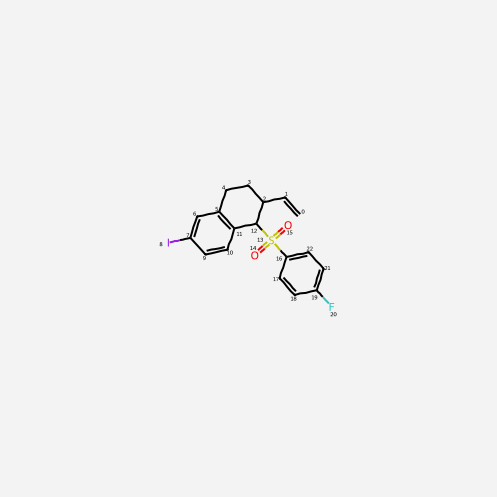 C=CC1CCc2cc(I)ccc2C1S(=O)(=O)c1ccc(F)cc1